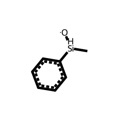 C[SiH]([O])c1ccccc1